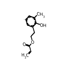 C=CC(=O)OCCc1c[c]cc(C)c1O